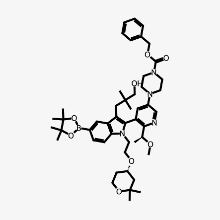 CO[C@@H](C)c1ncc(N2CCN(C(=O)OCc3ccccc3)CC2)cc1-c1c(CC(C)(C)CO)c2cc(B3OC(C)(C)C(C)(C)O3)ccc2n1CCO[C@H]1CCOC(C)(C)C1